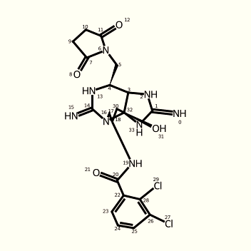 N=C1NC2[C@H](CN3C(=O)CCC3=O)NC(=N)N3CC(NC(=O)c4cccc(Cl)c4Cl)[C@@H](O)C23N1